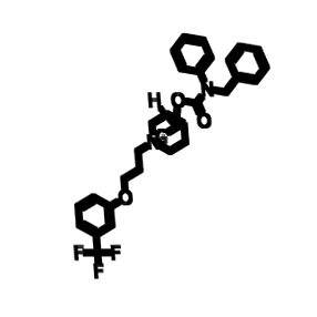 O=C(O[C@H]1C[N+]2(CCCOc3cccc(C(F)(F)F)c3)CCC1CC2)N(Cc1ccccc1)c1ccccc1